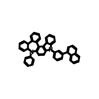 C1=CC2c3ccccc3-c3c(ccc4c3c3ccccc3n4-c3cccc(-c4cccc5ccccc45)c3)N(c3ccccc3)C2C=C1